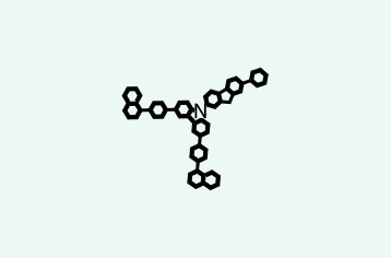 c1ccc(-c2ccc3c(c2)Cc2cc(-n4c5ccc(-c6ccc(-c7cccc8ccccc78)cc6)cc5c5cc(-c6ccc(-c7cccc8ccccc78)cc6)ccc54)ccc2-3)cc1